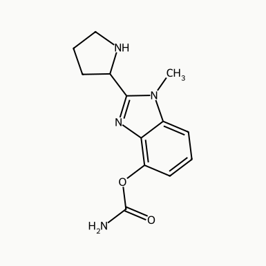 Cn1c(C2CCCN2)nc2c(OC(N)=O)cccc21